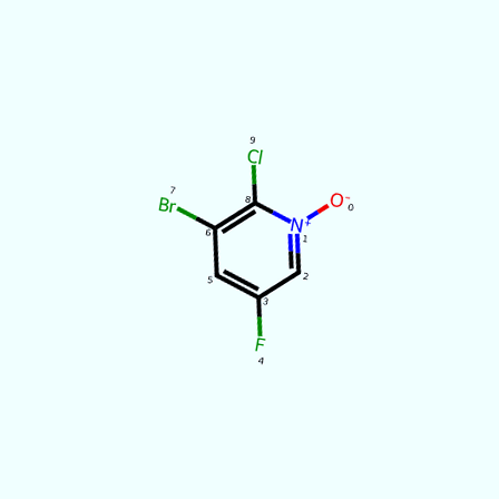 [O-][n+]1cc(F)cc(Br)c1Cl